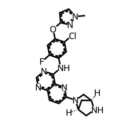 Cn1ccc(Oc2cc(F)c(Nc3ncnc4ccc(N5C[C@@H]6C[C@H]5CN6)nc34)cc2Cl)n1